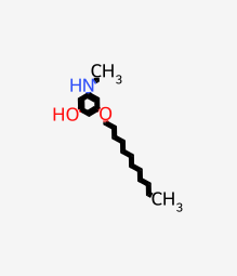 CCCCCCCCCCCCOc1cc(O)cc(NCC)c1